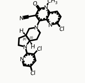 Cn1c(=O)c(C#N)c(N2CC[C@H]3[C@H](CCN3c3ncc(Cl)cc3Cl)C2)c2nc(Cl)ccc21